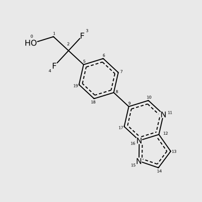 OCC(F)(F)c1ccc(-c2cnc3ccnn3c2)cc1